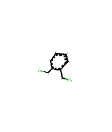 ClCc1c[c]ccc1CCl